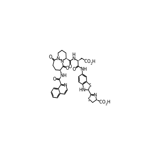 O=C(O)C[C@H](NC(=O)[C@@H]1CCCN2C(=O)CC[C@H](NC(=O)c3nccc4ccccc34)C(=O)N12)C(=O)Nc1ccc2c(c1)SC(C1=N[C@@H](C(=O)O)CS1)N2